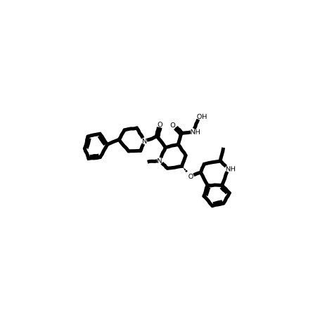 CC1CC(O[C@H]2CC(C(=O)NO)C(C(=O)N3CCC(c4ccccc4)CC3)N(C)C2)c2ccccc2N1